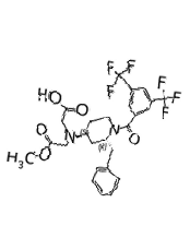 COC(=O)CN(CC(=O)O)[C@H]1CCN(C(=O)c2cc(C(F)(F)F)cc(C(F)(F)F)c2)[C@H](Cc2ccccc2)C1